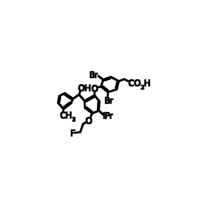 Cc1cccc(C(O)c2cc(OCCF)c(C(C)C)cc2Oc2c(Br)cc(CC(=O)O)cc2Br)c1